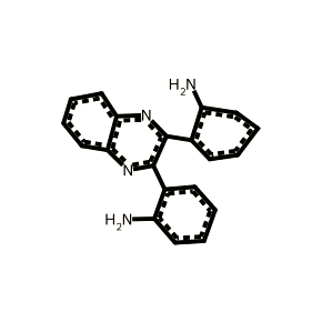 Nc1ccccc1-c1nc2ccccc2nc1-c1ccccc1N